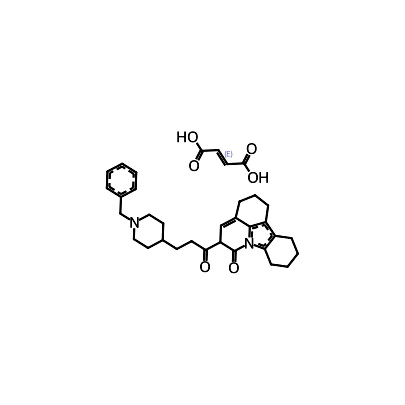 O=C(CCC1CCN(Cc2ccccc2)CC1)C1C=C2CCCc3c4c(n(c32)C1=O)CCCC4.O=C(O)/C=C/C(=O)O